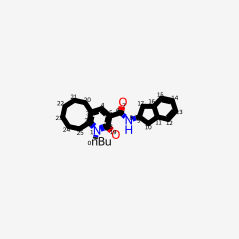 CCCCn1c2c(cc(C(=O)NC3CC4C=CC=CC4C3)c1=O)CCCCCC2